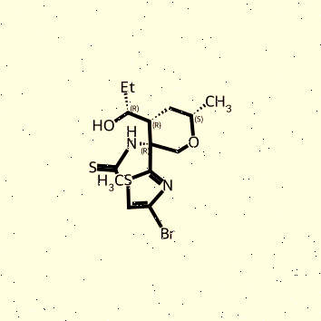 CC[C@@H](O)[C@@H]1C[C@H](C)OC[C@@]1(NC(C)=S)c1nc(Br)cs1